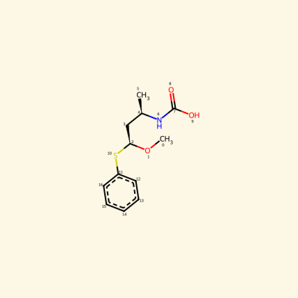 CO[C@H](C[C@@H](C)NC(=O)O)Sc1ccccc1